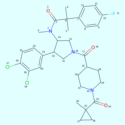 CN(C(=O)C(C)(C)c1ccc(F)cc1)C1CN(C(=O)C2CCN(C(=O)C3(C)CC3)CC2)CC1c1ccc(Cl)c(Cl)c1